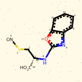 O=NSC[C@H](Nc1nc2ccccc2o1)C(=O)O